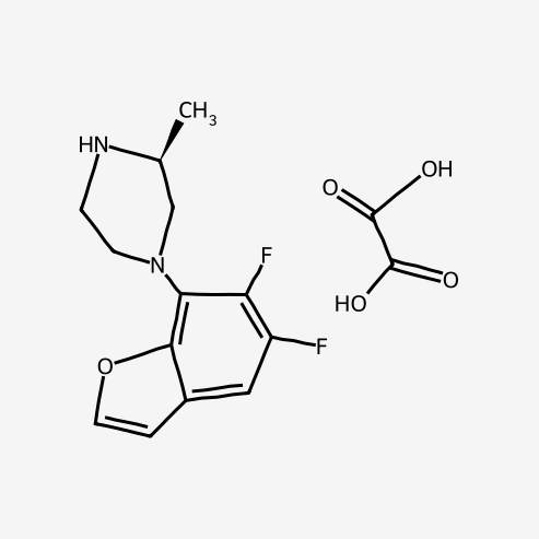 C[C@H]1CN(c2c(F)c(F)cc3ccoc23)CCN1.O=C(O)C(=O)O